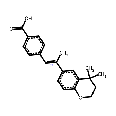 C/C(=C\c1ccc(C(=O)O)cc1)c1ccc2c(c1)C(C)(C)CCO2